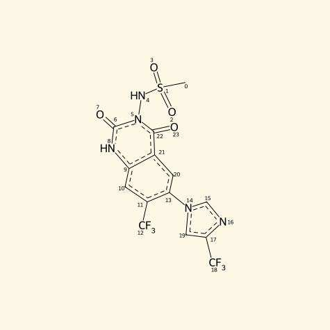 CS(=O)(=O)Nn1c(=O)[nH]c2cc(C(F)(F)F)c(-n3cnc(C(F)(F)F)c3)cc2c1=O